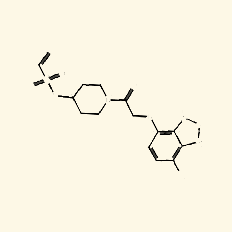 C=CS(=O)(=O)NC1CCN(C(=O)CNc2ccc(Cl)c3c2NSN3)CC1